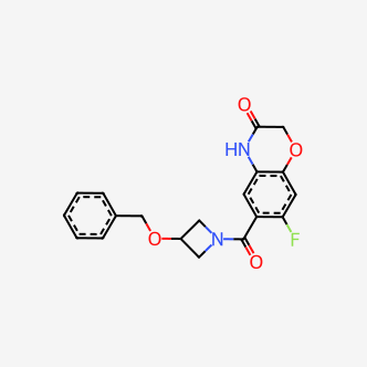 O=C1COc2cc(F)c(C(=O)N3CC(OCc4ccccc4)C3)cc2N1